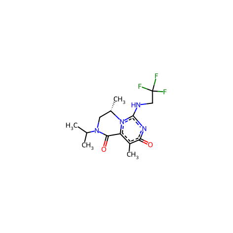 Cc1c2n(c(NCC(F)(F)F)nc1=O)[C@@H](C)CN(C(C)C)C2=O